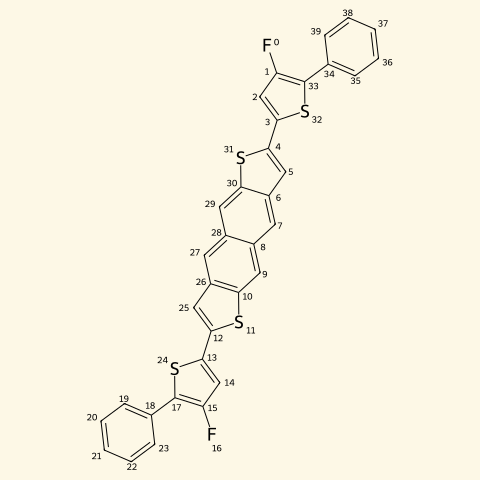 Fc1cc(-c2cc3cc4cc5sc(-c6cc(F)c(-c7ccccc7)s6)cc5cc4cc3s2)sc1-c1ccccc1